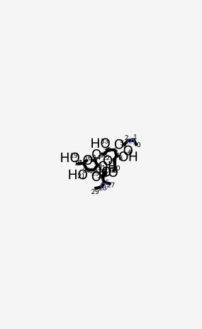 C/C=C\C(=O)OC1C(O)C(CO)OC(OC2OC(CO)C(O)C(OC(=O)/C(C)=C\C)C2O)C1O